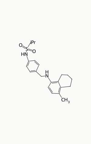 Cc1ccc(NCc2ccc(NS(=O)(=O)C(C)C)cc2)c2c1CCCC2